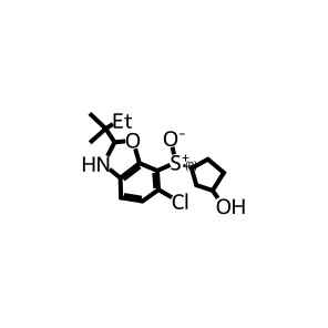 CCC(C)(C)C1Nc2ccc(Cl)c([S+]([O-])[C@@H]3CCC(O)C3)c2O1